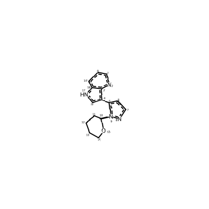 c1cnc2c(-c3ccnn3C3CCCCO3)c[nH]c2c1